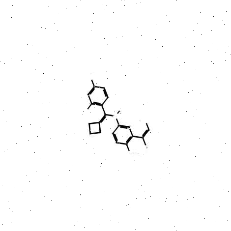 CNc1ccc(N(C)C(=C2CCC2)c2ccc(F)cc2C)cc1/C(=C\C=O)C(C)C